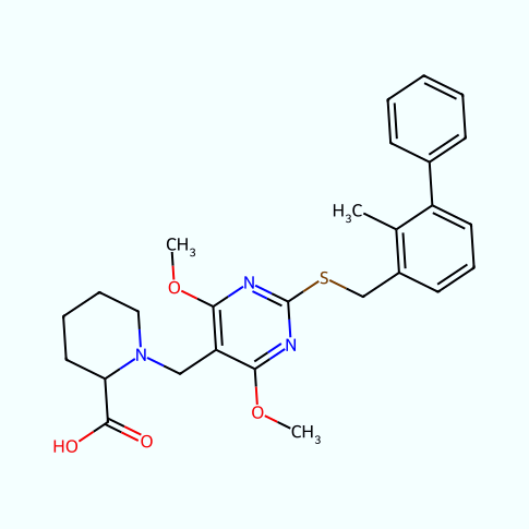 COc1nc(SCc2cccc(-c3ccccc3)c2C)nc(OC)c1CN1CCCCC1C(=O)O